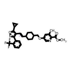 COC(=O)c1ncc(OCC2CCC(/C=C/c3c(-c4ccccc4C(F)(F)F)noc3C3CC3)CC2)cc1C